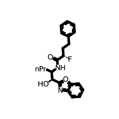 CCCC(NC(=O)[C@@H](F)CCc1ccccc1)[C@H](O)c1nc2ccccc2o1